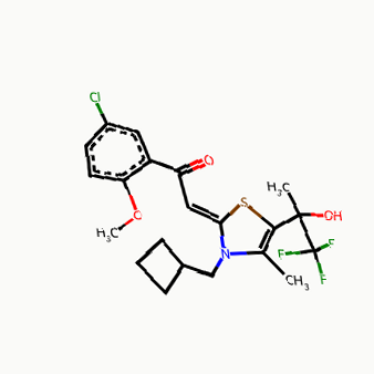 COc1ccc(Cl)cc1C(=O)C=C1SC(C(C)(O)C(F)(F)F)=C(C)N1CC1CCC1